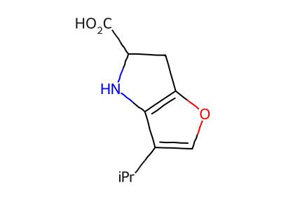 CC(C)c1coc2c1NC(C(=O)O)C2